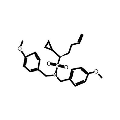 C=CCC[C@H](C1CC1)S(=O)(=O)N(Cc1ccc(OC)cc1)Cc1ccc(OC)cc1